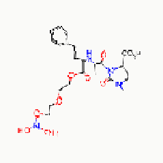 CC(NC(CCc1ccccc1)C(=O)OCCOCCON(O)O)C(=O)N1C(=O)N(C)CC1C(=O)O